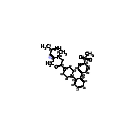 CC(=N)/C=C(/C)N(C)CC(=O)N1CCN(c2ccccc2-c2cnc(S(C)(=O)=O)nc2)CC1